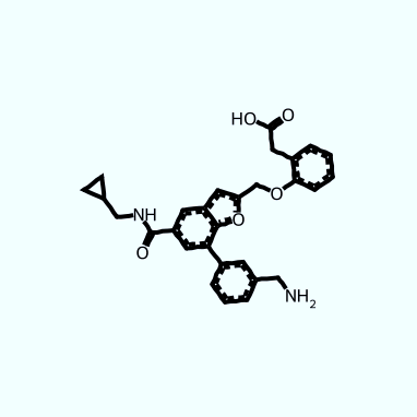 NCc1cccc(-c2cc(C(=O)NCC3CC3)cc3cc(COc4ccccc4CC(=O)O)oc23)c1